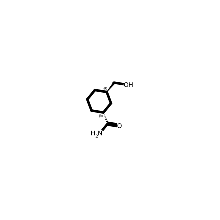 NC(=O)[C@@H]1CCC[C@@H]([CH]O)C1